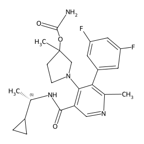 Cc1ncc(C(=O)N[C@@H](C)C2CC2)c(N2CCC(C)(OC(N)=O)C2)c1-c1cc(F)cc(F)c1